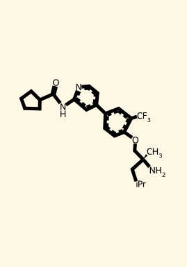 CC(C)C[C@](C)(N)COc1ccc(-c2ccnc(NC(=O)C3CCCC3)c2)cc1C(F)(F)F